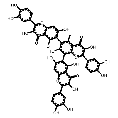 O=c1c(O)c(-c2ccc(O)c(O)c2)oc2cc(O)c(-c3c(O)c(-c4c(O)cc5oc(-c6ccc(O)c(O)c6)c(O)c(=O)c5c4O)c4oc(-c5ccc(O)c(O)c5)c(O)c(=O)c4c3O)c(O)c12